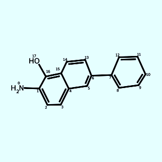 Nc1ccc2cc(-c3ccccc3)ccc2c1O